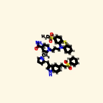 CN1CCC[C@@H]1Cc1c[nH]c2ccc(CCS(=O)(=O)c3ccccc3)cc12.CS(=O)(=O)c1ccc2c(c1)N(CCCN1CCC(C(N)=O)CC1)c1ccccc1S2